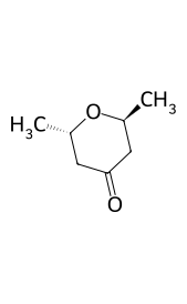 C[C@H]1CC(=O)C[C@H](C)O1